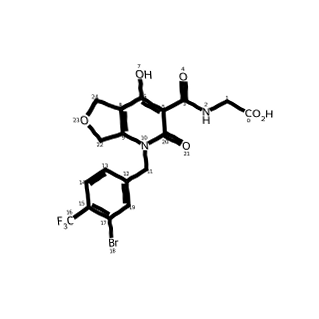 O=C(O)CNC(=O)c1c(O)c2c(n(Cc3ccc(C(F)(F)F)c(Br)c3)c1=O)COC2